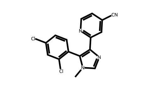 Cn1cnc(-c2cc(C#N)ccn2)c1-c1ccc(Cl)cc1Cl